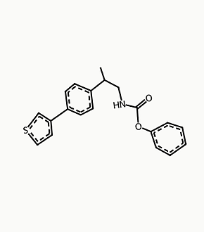 CC(CNC(=O)Oc1ccccc1)c1ccc(-c2ccsc2)cc1